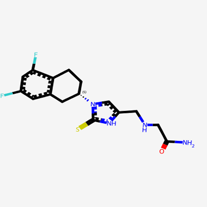 NC(=O)CNCc1cn([C@H]2CCc3c(F)cc(F)cc3C2)c(=S)[nH]1